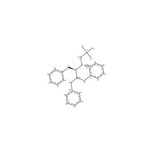 C[Si](C)(C)O[C@H](C#N)[C@H](Cc1ccccc1)N(Cc1ccccc1)Cc1ccccc1